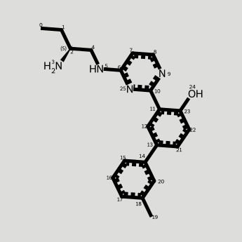 CC[C@H](N)CNc1ccnc(-c2cc(-c3cccc(C)c3)ccc2O)n1